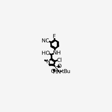 Cn1cc(S(=O)(=O)NC(C)(C)C)c(Cl)c1C(O)Nc1ccc(F)c(C#N)c1